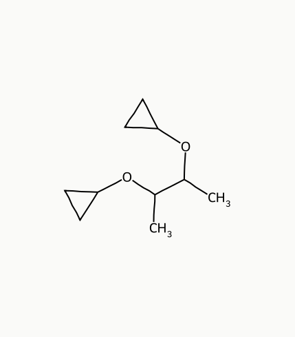 CC(OC1CC1)C(C)OC1CC1